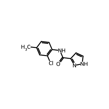 Cc1ccc(NC(=O)c2cc[nH]n2)c(Cl)c1